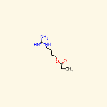 C=CC(=O)OCCCCNC(=N)N